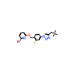 C[Si](C)(C)Cc1cn(-c2ccc(COc3cccc(Br)n3)c(F)c2)nn1